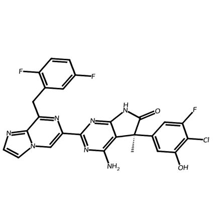 C[C@@]1(c2cc(O)c(Cl)c(F)c2)C(=O)Nc2nc(-c3cn4ccnc4c(Cc4cc(F)ccc4F)n3)nc(N)c21